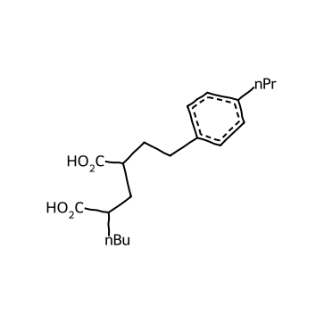 CCCCC(CC(CCc1ccc(CCC)cc1)C(=O)O)C(=O)O